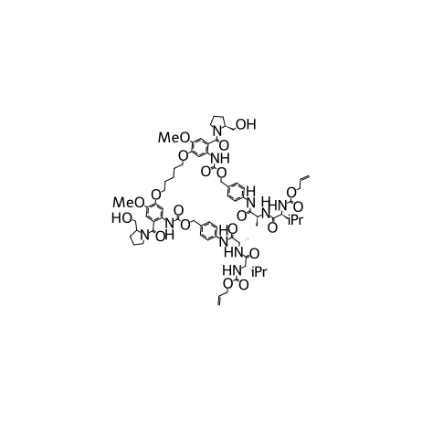 C=CCOC(=O)N[C@H](C(=O)N[C@@H](C)C(=O)Nc1ccc(COC(=O)Nc2cc(OCCCCCOc3cc(NC(=O)OCc4ccc(NC(=O)[C@H](C)NC(=O)[C@@H](NC(=O)OCC=C)C(C)C)cc4)c(C(=O)N4CCC[C@H]4CO)cc3OC)c(OC)cc2C(=O)N2CCCC2CO)cc1)C(C)C